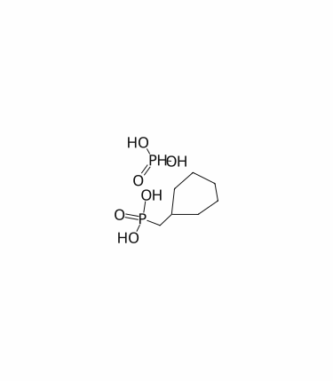 O=P(O)(O)CC1CCCCC1.O=[PH](O)O